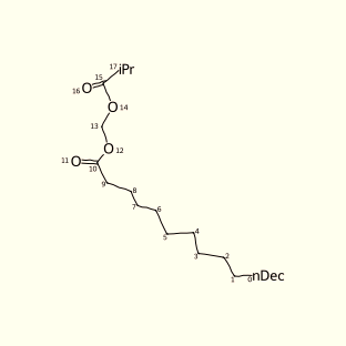 CCCCCCCCCCCCCCCCCCCC(=O)OCOC(=O)C(C)C